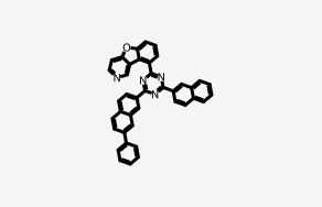 c1ccc(-c2ccc3ccc(-c4nc(-c5ccc6ccccc6c5)nc(-c5cccc6oc7ccncc7c56)n4)cc3c2)cc1